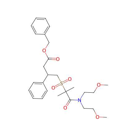 COCCN(CCOC)C(=O)C(C)(C)S(=O)(=O)CC(CC(=O)OCc1ccccc1)c1ccccc1